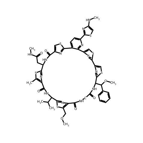 CNC(=O)CC1NC(=O)c2csc(n2)-c2ccc(-c3nc(NC)cs3)nc2-c2csc(n2)-c2csc(n2)C(C(OC)c2ccccc2)NC(=O)CNC(=O)c2nc(sc2COC)C(C(C)C)NC(=O)c2nc1sc2C